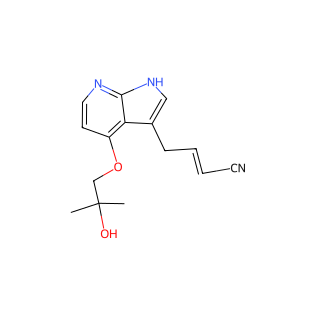 CC(C)(O)COc1ccnc2[nH]cc(C/C=C/C#N)c12